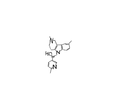 Cc1ccc2c(c1)c1c(n2C[C@@H](O)c2ccc(C)nc2)CCN(C)C1